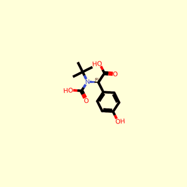 CC(C)(C)N(C(=O)O)[C@@H](C(=O)O)c1ccc(O)cc1